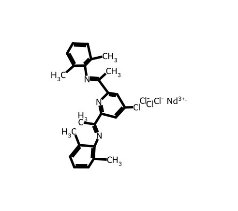 CC(=Nc1c(C)cccc1C)c1cc(Cl)cc(C(C)=Nc2c(C)cccc2C)n1.[Cl-].[Cl-].[Cl-].[Nd+3]